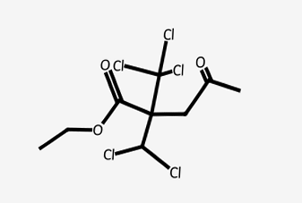 CCOC(=O)C(CC(C)=O)(C(Cl)Cl)C(Cl)(Cl)Cl